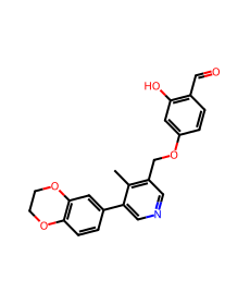 Cc1c(COc2ccc(C=O)c(O)c2)cncc1-c1ccc2c(c1)OCCO2